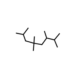 C[C](C)C(C)CC(C)(C)CC(C)C